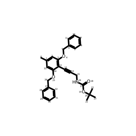 Cc1cc(OCc2ccccc2)c(C#CCNC(=O)OC(C)(C)C)c(OCc2ccccc2)c1